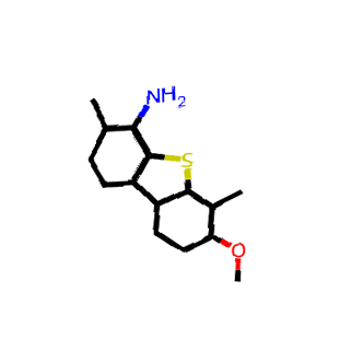 COC1CCC2C3CCC(C)C(N)C3SC2C1C